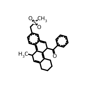 CC1C=C2CCCCC2=C2C1=c1ccc(CS(C)(=O)=O)cc1=CC2C(=O)c1ccccc1